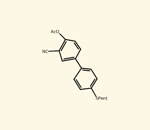 CCCCCc1ccc(-c2ccc(OC(C)=O)c(C#N)c2)cc1